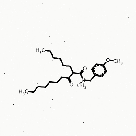 CCCCCCCC(=O)C(CCCCCC)C(=O)N(C)Cc1ccc(OC)cc1